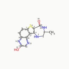 CC1CNc2c(sc3ccc4nc(O)cnc4c23)C(=O)N1